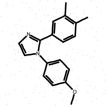 COc1ccc(-n2ccnc2-c2ccc(C)c(C)c2)cc1